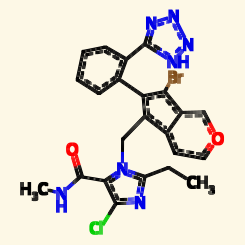 CCc1nc(Cl)c(C(=O)NC)n1Cc1c2ccocc-2c(Br)c1-c1ccccc1-c1nnn[nH]1